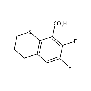 O=C(O)c1c(F)c(F)cc2c1SCCC2